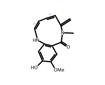 C=C1/C=C\C=C/Nc2cc(O)c(OC)cc2C(=O)N1C